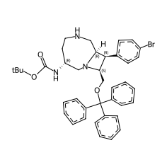 CC(C)(C)OC(=O)N[C@@H]1CCNC[C@H]2[C@@H](c3ccc(Br)cc3)[C@@H](COC(c3ccccc3)(c3ccccc3)c3ccccc3)N2C1